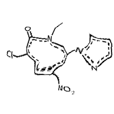 Cn1c(-n2cccn2)c([N+](=O)[O-])cc(Cl)c1=O